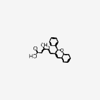 CC(/C=C/C1=Cc2ccccc2OC1c1ccccc1)=C\C(=O)O